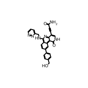 NC(=O)C#Cc1c[nH]c(=O)c2c1nc(NCc1cccnn1)c1ccc(-c3ccc(CO)cc3)cc12